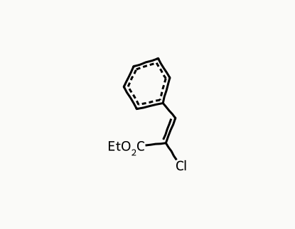 CCOC(=O)/C(Cl)=C\c1ccccc1